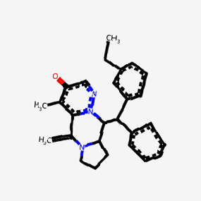 C=C1c2c(C)c(=O)cnn2C(C(c2ccccc2)c2cccc(CC)c2)C2CCCN12